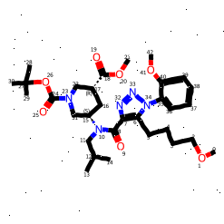 COCCCCc1c(C(=O)N(CC(C)C)[C@H]2C[C@@H](C(=O)OC)CN(C(=O)OC(C)(C)C)C2)nnn1-c1ccccc1OC